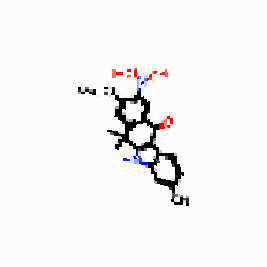 COc1cc2c(cc1N(O)O)C(=O)C1=C(NC3C=C(C#N)C=CC13)C2(C)C